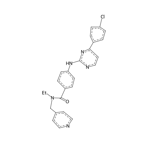 CCN(Cc1ccncc1)C(=O)c1ccc(Nc2nccc(-c3ccc(Cl)cc3)n2)cc1